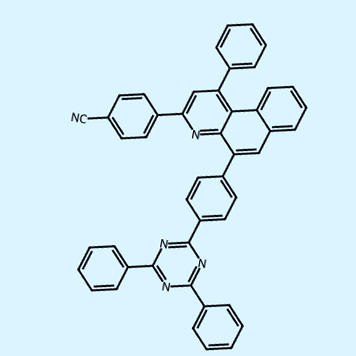 N#Cc1ccc(-c2cc(-c3ccccc3)c3c(n2)c(-c2ccc(-c4nc(-c5ccccc5)nc(-c5ccccc5)n4)cc2)cc2ccccc23)cc1